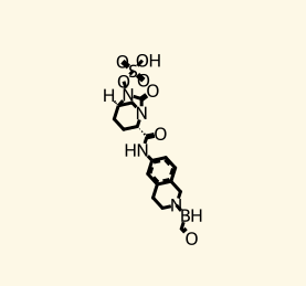 O=CBN1CCc2cc(NC(=O)[C@@H]3CC[C@@H]4CN3C(=O)N4OS(=O)(=O)O)ccc2C1